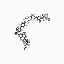 O=C1CCC(c2ccc(C3CCN(CC4CCN(c5ccc(-c6cnc7[nH]cc(C(=O)c8c(F)ccc(NS(=O)(=O)N9CC[C@@H](F)C9)c8F)c7c6)cc5)CC4)CC3)cc2F)C(=O)N1